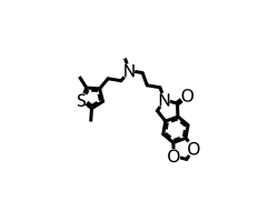 Cc1cc(CCN(C)CCCN2Cc3cc4c(cc3C2=O)OCO4)c(C)s1